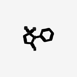 O=S1(=O)C=CC(=S)N1c1ccccc1